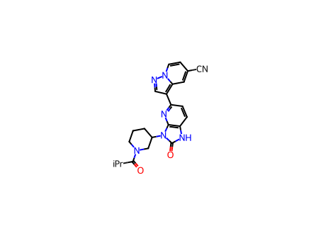 CC(C)C(=O)N1CCCC(n2c(=O)[nH]c3ccc(-c4cnn5ccc(C#N)cc45)nc32)C1